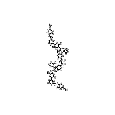 N#Cc1ccc(COc2cccc(-c3cc(F)c(Cc4nc5ccc(C(=O)OC(=O)c6ccc7nc(Cc8cc(F)c(-c9cccc(OCc%10ccc(C#N)cc%10F)n9)cc8F)n([C@@H]8COC[C@H]8F)c7c6)cc5n4[C@@H]4COC[C@H]4F)cc3F)n2)c(F)c1